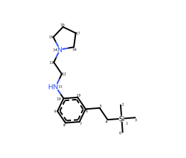 C[Si](C)(C)CCc1cccc(NCCN2CCCC2)c1